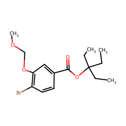 CCC(CC)(CC)OC(=O)c1ccc(Br)c(OCOC)c1